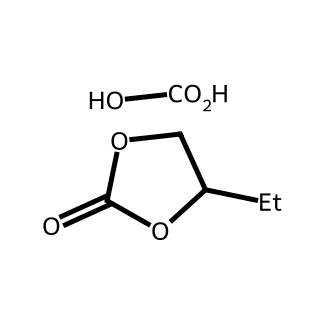 CCC1COC(=O)O1.O=C(O)O